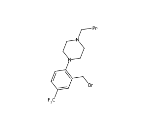 C[C](C)CN1CCN(c2ccc(C(F)(F)F)cc2CBr)CC1